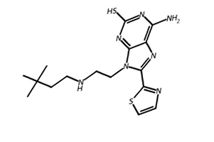 CC(C)(C)CCNCCn1c(-c2nccs2)nc2c(N)nc(S)nc21